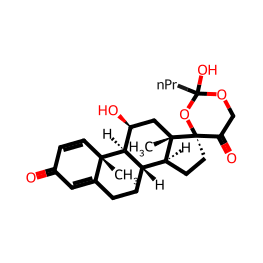 CCCC1(O)OCC(=O)[C@]2(CC[C@H]3[C@@H]4CCC5=CC(=O)C=C[C@]5(C)[C@H]4[C@@H](O)C[C@@]32C)O1